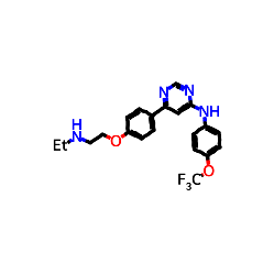 CCNCCOc1ccc(-c2cc(Nc3ccc(OC(F)(F)F)cc3)ncn2)cc1